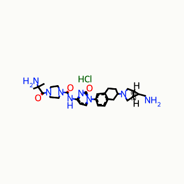 CC(C)(N)C(=O)N1CCN(C(=O)Nc2ccn(-c3ccc4c(c3)CCC(N3C[C@@H]5C(CN)[C@@H]5C3)C4)c(=O)n2)CC1.Cl